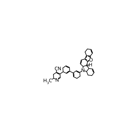 CC1CC(C#N)=C(C2C=C(C3=CCCC(N4C5CCC=CC5[C@H]5c6oc7c(c6C=CC54)CCC=C7)=C3)C=CC2)C=N1